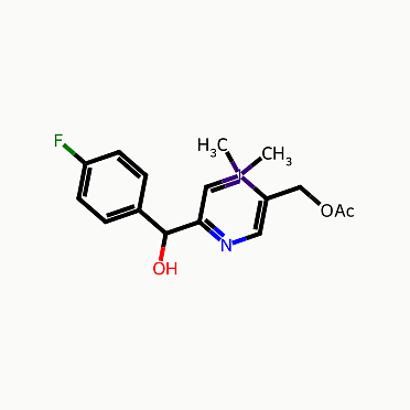 CC(=O)OCC1=CN=C(C(O)c2ccc(F)cc2)C=I1(C)C